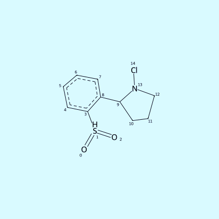 O=[SH](=O)c1ccccc1C1CCCN1Cl